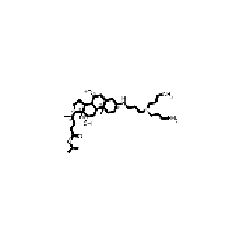 CC(C)OC(=O)CC[C@@H](C)[C@H]1CCC2C3C(C[C@H](O)[C@@]21C)[C@@]1(C)CC[C@H](NCCCN(CCCN)CCCN)CC1C[C@H]3O